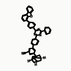 N#Cc1cc(-c2ccc(-c3nc(-c4ccccc4)nc(-c4ccc(-c5cccc6c5oc5ccccc56)cc4)n3)cc2)cc(C23C[C@H]4C[C@H](C2)C[C@@H](C3)C4)c1